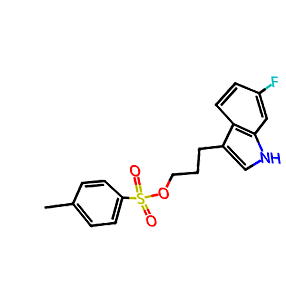 Cc1ccc(S(=O)(=O)OCCCc2c[nH]c3cc(F)ccc23)cc1